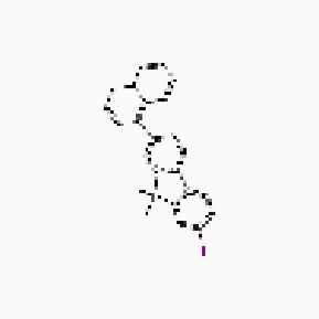 CC1(C)c2cc(I)ccc2-c2ccc(C3=C4C=CC=CC4CC=C3)cc21